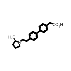 C[C@@H]1CCCN1CCc1ccc(-c2ccc(CC(=O)O)cc2)cc1